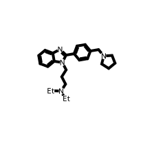 CCN(CC)CCCn1c(-c2ccc(CN3CCCC3)cc2)nc2ccccc21